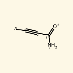 [CH2]C#CC(N)=O